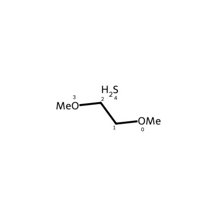 COCCOC.S